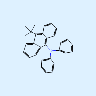 CC(C)(C)c1c2ccccc2c(N(c2ccccc2)c2ccccc2)c2ccccc12